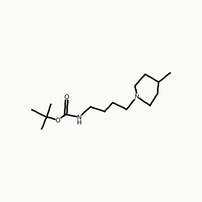 CC1CCN(CCCCNC(=O)OC(C)(C)C)CC1